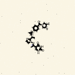 C=C(c1nccn1/N=C(\C)c1c[nH]c(=O)[nH]c1=O)[C@H]1C[C@@H]1c1ccc(C(=O)N2C[C@@H](F)[C@H](F)C2)cc1